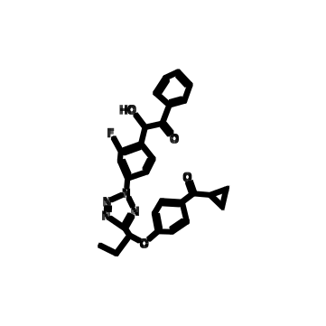 CCC(Oc1ccc(C(=O)C2CC2)cc1)c1nnn(-c2ccc(C(O)C(=O)c3ccccc3)c(F)c2)n1